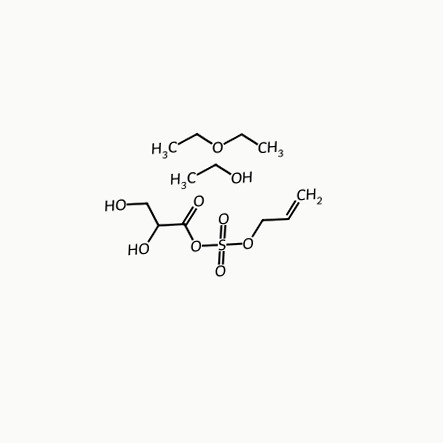 C=CCOS(=O)(=O)OC(=O)C(O)CO.CCO.CCOCC